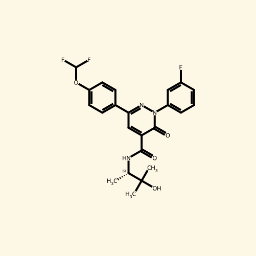 C[C@H](NC(=O)c1cc(-c2ccc(OC(F)F)cc2)nn(-c2cccc(F)c2)c1=O)C(C)(C)O